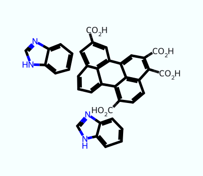 O=C(O)c1cc2cccc3c4c(C(=O)O)ccc5c(C(=O)O)c(C(=O)O)cc(c(c1)c23)c54.c1ccc2[nH]cnc2c1.c1ccc2[nH]cnc2c1